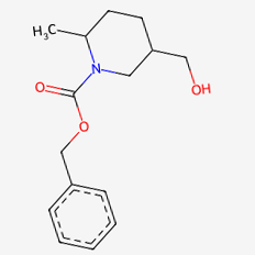 CC1CCC(CO)CN1C(=O)OCc1ccccc1